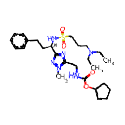 CCN(CC)CCCS(=O)(=O)N[C@H](CCc1ccccc1)c1nc(CNC(=O)OC2CCCC2)n(C)n1